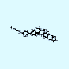 COCCCNc1ccc(-c2ccc3c(Nc4ccc(Sc5nccn5C)c(Cl)c4)c(C#N)cnc3c2)cn1